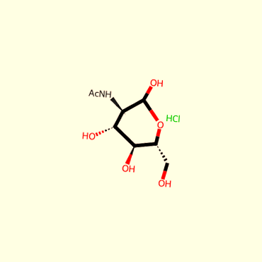 CC(=O)N[C@H]1C(O)O[C@H](CO)[C@@H](O)[C@@H]1O.Cl